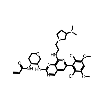 C=CC(=O)N[C@H]1CCOC[C@H]1Nc1ncc2cc(-c3c(Cl)c(OC)cc(OC)c3Cl)nc(NCCN3CCC(N(C)C)C3)c2n1